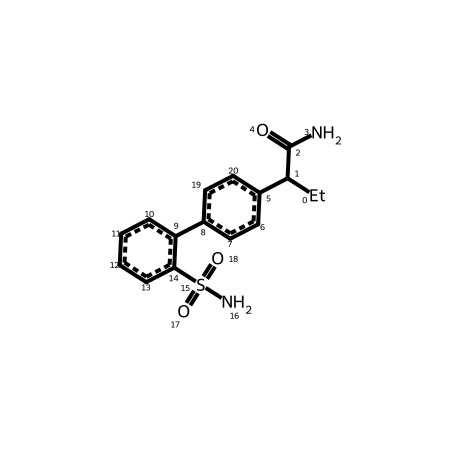 CCC(C(N)=O)c1ccc(-c2ccccc2S(N)(=O)=O)cc1